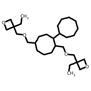 CCC1(COCC2CCCC(COCC3(CC)COC3)C(C3CCCCCCC3)CC2)COC1